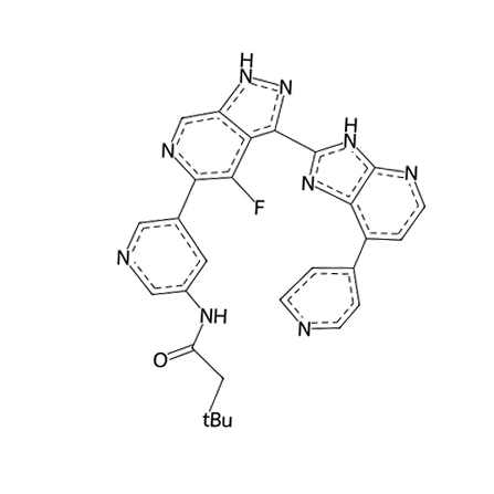 CC(C)(C)CC(=O)Nc1cncc(-c2ncc3[nH]nc(-c4nc5c(-c6ccncc6)ccnc5[nH]4)c3c2F)c1